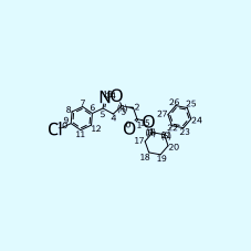 O=C(C[C@H]1CC(c2ccc(Cl)cc2)=NO1)O[C@@H]1CCCC[C@H]1c1ccccc1